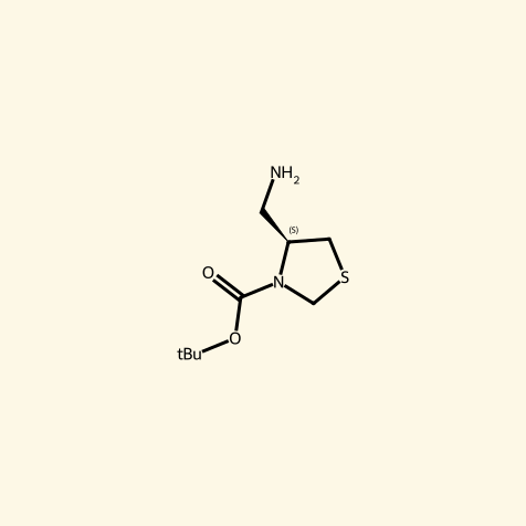 CC(C)(C)OC(=O)N1CSC[C@@H]1CN